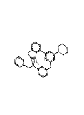 C=C(Cc1ccccc1)c1cccc(Cc2cc(C3CCCCC3)cc(-c3cccc4c3C=CC4)n2)c1